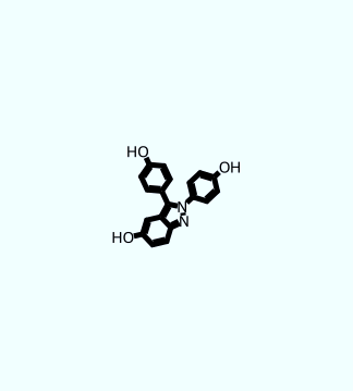 Oc1ccc(-c2c3cc(O)ccc3nn2-c2ccc(O)cc2)cc1